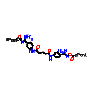 CCCCCC(=O)O/N=C(\N)c1ccc(NC(=O)CCCC(=O)Nc2ccc(/C(N)=[N]/[Co](=[O])[CH2]CCCC)cc2)cc1